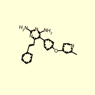 Cc1cc(Oc2ccc(-c3c(N)nc(N)nc3C=Cc3ccccc3)cc2)ccn1